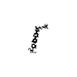 COC(=O)C[C@H]1CC[C@H](c2ccc(-c3ccc(-c4nc(C)n(COCC[Si](C)(C)C)n4)cn3)cc2)CC1